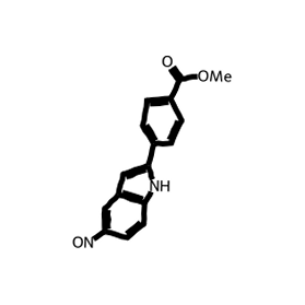 COC(=O)c1ccc(-c2cc3cc(N=O)ccc3[nH]2)cc1